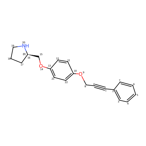 C(#Cc1ccccc1)COc1ccc(OC[C@H]2CCCN2)cc1